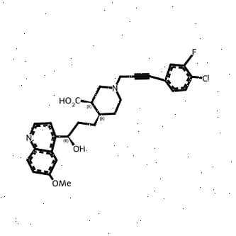 COc1ccc2nccc([C@H](O)CC[C@@H]3CCN(CC#Cc4ccc(Cl)c(F)c4)C[C@@H]3C(=O)O)c2c1